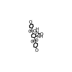 COc1ccc(S(=O)(=O)c2ccc(S(=O)(=O)c3ccc(OC)cc3)c3[nH]c(=O)[nH]c23)cc1